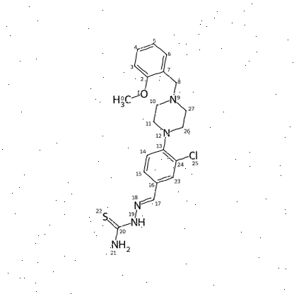 COc1ccccc1CN1CCN(c2ccc(C=NNC(N)=S)cc2Cl)CC1